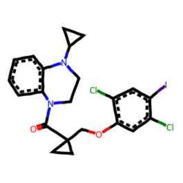 O=C(N1CCN(C2CC2)c2ccccc21)C1(COc2cc(Cl)c(I)cc2Cl)CC1